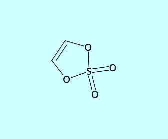 O=S1(=O)OC=CO1